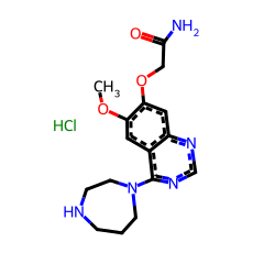 COc1cc2c(N3CCCNCC3)ncnc2cc1OCC(N)=O.Cl